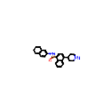 [O-][S+](Nc1ccc2c(c1)CCCC2)c1ccc(C2CCNCC2)c2ccccc12